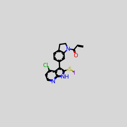 C=CC(=O)N1CCc2ccc(-c3c(SI)[nH]c4nccc(Cl)c34)cc21